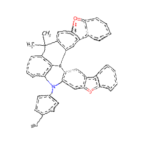 CC(C)(C)c1ccc(N2c3cc4oc5ccccc5c4cc3B3c4cc5c(cc4C(C)(C)c4cccc2c43)oc2ccccc25)cc1